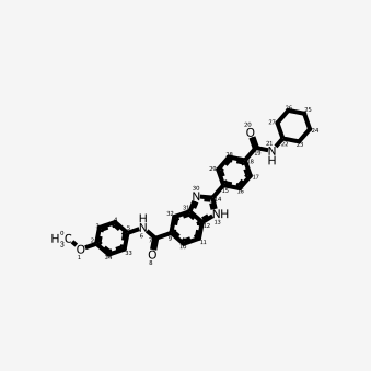 COc1ccc(NC(=O)c2ccc3[nH]c(-c4ccc(C(=O)NC5CCCCC5)cc4)nc3c2)cc1